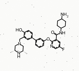 C[C@@H]1CN(Cc2cc(-c3cccc(Oc4ncc(F)cc4C(=O)NC4CCC(N)CC4)c3)ccc2O)C[C@H](C)N1